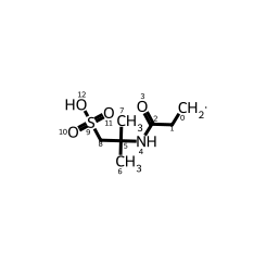 [CH2]CC(=O)NC(C)(C)CS(=O)(=O)O